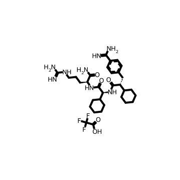 N=C(N)NCCC[C@H](NC(=O)[C@@H](NC(=O)[C@H](Cc1ccc(C(=N)N)cc1)C1CCCCC1)C1CCCCC1)C(N)=O.O=C(O)C(F)(F)F